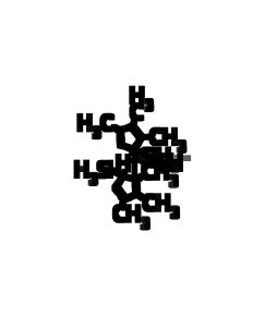 CC1=C[C]([SiH3])([Hf+2][C]2([SiH3])C=C(C)C(C)=C2C)C(C)=C1C.[H-].[H-]